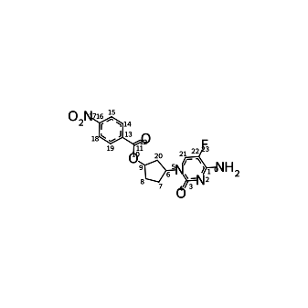 Nc1nc(=O)n(C2CCC(OC(=O)c3ccc([N+](=O)[O-])cc3)C2)cc1F